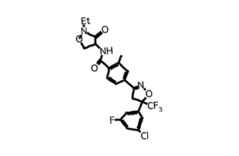 CCN1OCC(NC(=O)c2ccc(C3=NOC(c4cc(F)cc(Cl)c4)(C(F)(F)F)C3)cc2C)C1=O